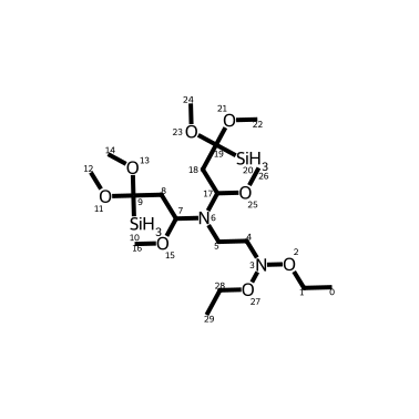 CCON(CCN(C(CC([SiH3])(OC)OC)OC)C(CC([SiH3])(OC)OC)OC)OCC